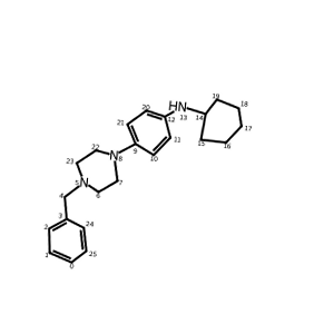 c1ccc(CN2CCN(c3ccc(NC4CCCCC4)cc3)CC2)cc1